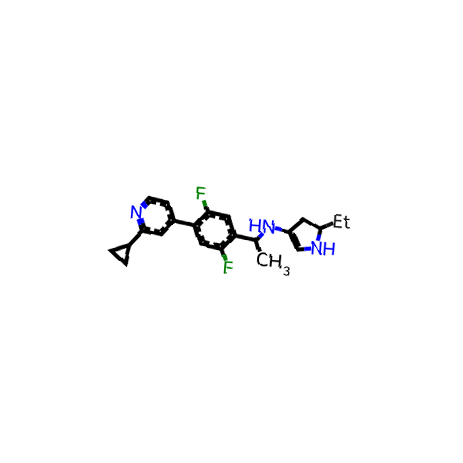 CCC1CC(NC(C)c2cc(F)c(-c3ccnc(C4CC4)c3)cc2F)=CN1